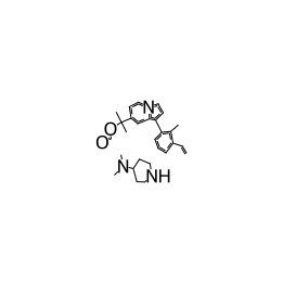 C=Cc1cccc(-c2ccn3ccc(C(C)(C)OC=O)cc23)c1C.CN(C)C1CCNCC1